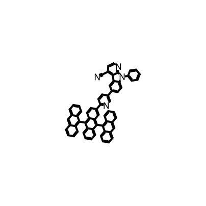 N#Cc1ccnc2c1c1cc(-c3ccc(-c4ccc5c(-c6c7ccccc7cc7ccccc67)c6ccccc6c(-c6c7ccccc7cc7ccccc67)c5c4)nc3)ccc1n2-c1ccccc1